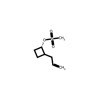 C=CCC1CC[C@@H]1OS(C)(=O)=O